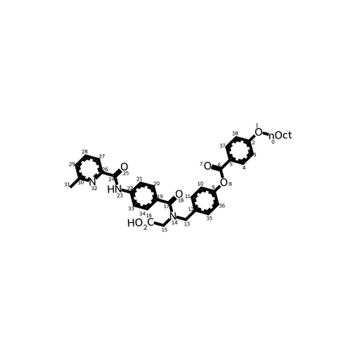 CCCCCCCCOc1ccc(C(=O)Oc2ccc(CN(CC(=O)O)C(=O)c3ccc(NC(=O)c4cccc(C)n4)cc3)cc2)cc1